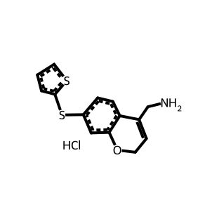 Cl.NCC1=CCOc2cc(Sc3cccs3)ccc21